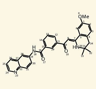 COc1ccc2c(c1)/C(=C/C(=O)c1cccc(C(=O)Nc3ccc4ncccc4c3)c1)NC(C)(C)C2